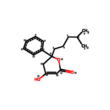 CC(C)CCCC1(c2ccccc2)CC(O)=CC(=O)O1